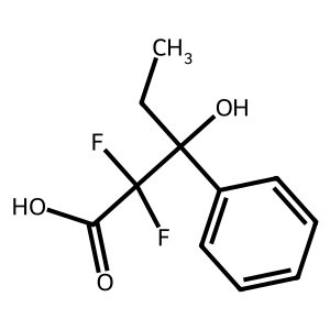 CCC(O)(c1ccccc1)C(F)(F)C(=O)O